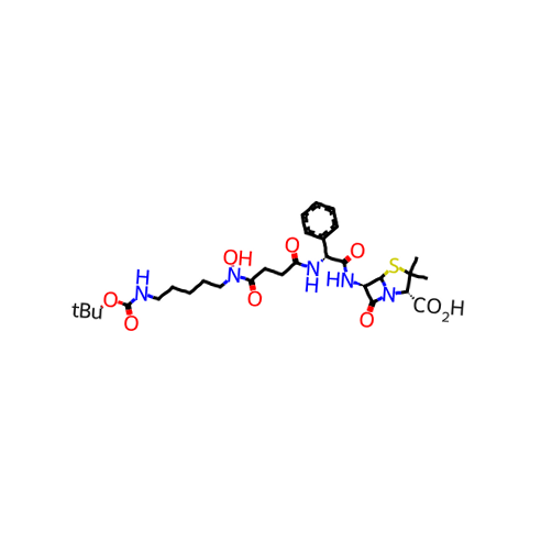 CC(C)(C)OC(=O)NCCCCCN(O)C(=O)CCC(=O)N[C@@H](C(=O)N[C@@H]1C(=O)N2C1SC(C)(C)[C@@H]2C(=O)O)c1ccccc1